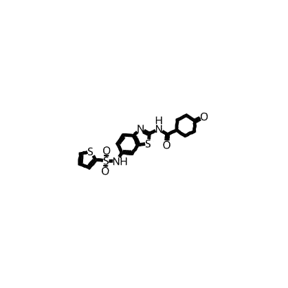 O=C1CCC(C(=O)Nc2nc3ccc(NS(=O)(=O)c4cccs4)cc3s2)CC1